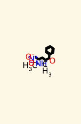 CNC(CC(C)C(=O)c1ccccc1)C[N+](=O)[O-]